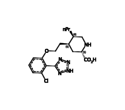 CCC[C@H]1CN[C@H](C(=O)O)C[C@H]1CCOc1cccc(Cl)c1-c1nn[nH]n1